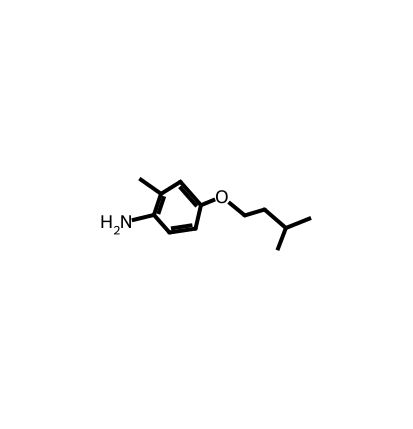 Cc1cc(OCCC(C)C)ccc1N